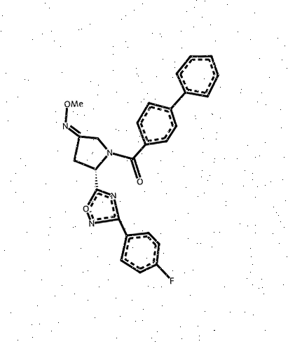 CO/N=C1/C[C@@H](c2nc(-c3ccc(F)cc3)no2)N(C(=O)c2ccc(-c3ccccc3)cc2)C1